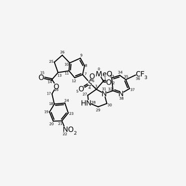 COC(=O)C1(S(=O)(=O)c2ccc3c(c2)C(C(=O)OCc2ccc([N+](=O)[O-])cc2)CC3)CNCCN1c1ccc(C(F)(F)F)cn1